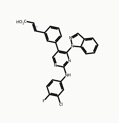 O=C(O)/C=C/c1cccc(-c2cnc(Nc3ccc(F)c(Cl)c3)nc2-n2ncc3ccccc32)c1